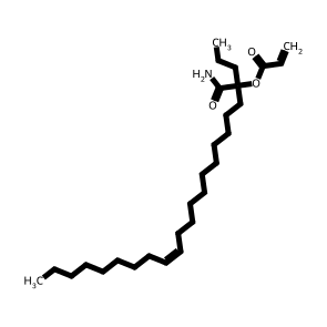 C=CC(=O)OC(CCC)(CCCCCCCCCC/C=C\CCCCCCCC)C(N)=O